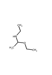 CCNC(C)OCC